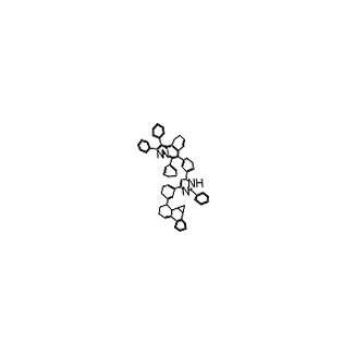 C1=CC(c2c(C3=CC(C4C=C(C5=CCCC(C6CCC=C7c8ccccc8C8CC8C76)=C5)N=C(c5ccccc5)N4)=CCC3)c3c(c4c(-c5ccccc5)c(-c5ccccc5)nn24)CCC=C3)=CCC1